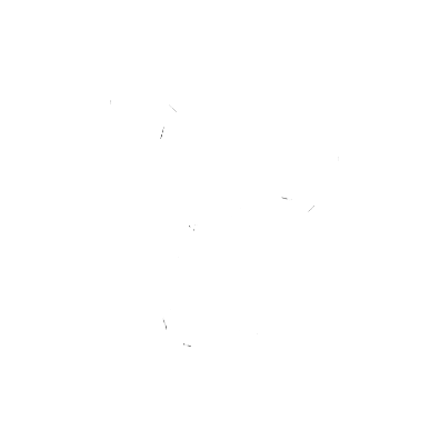 CCCCC/C=C\C/C=C\CCCCCCCC[N+](CCO)(CCCCCCCC/C=C\C/C=C\CCCCC)CCCCCCCC/C=C\C/C=C\CCCCC